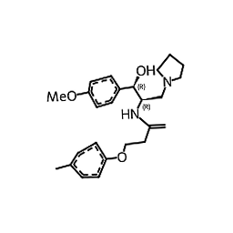 C=C(CCOc1ccc(C)cc1)N[C@H](CN1CCCC1)[C@H](O)c1ccc(OC)cc1